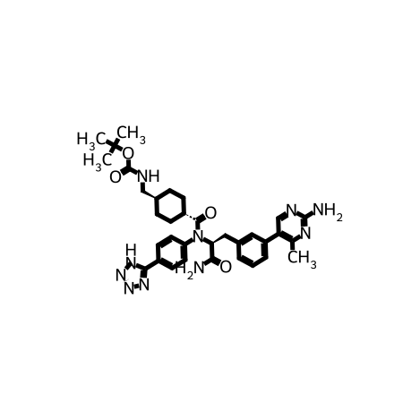 Cc1nc(N)ncc1-c1cccc(C[C@@H](C(N)=O)N(c2ccc(-c3nnn[nH]3)cc2)C(=O)[C@H]2CC[C@H](CNC(=O)OC(C)(C)C)CC2)c1